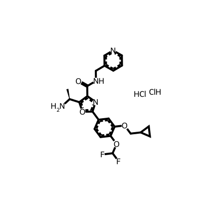 C[C@H](N)c1oc(-c2ccc(OC(F)F)c(OCC3CC3)c2)nc1C(=O)NCc1cccnc1.Cl.Cl